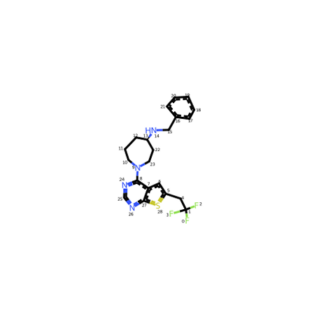 FC(F)(F)Cc1cc2c(N3CCC[C@@H](NCc4ccccc4)CC3)ncnc2s1